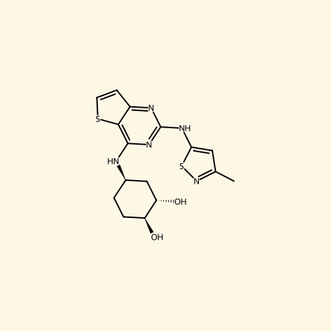 Cc1cc(Nc2nc(N[C@@H]3CC[C@H](O)[C@@H](O)C3)c3sccc3n2)sn1